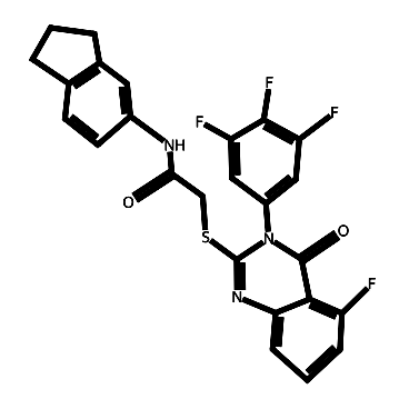 O=C(CSc1nc2cccc(F)c2c(=O)n1-c1cc(F)c(F)c(F)c1)Nc1ccc2c(c1)CCC2